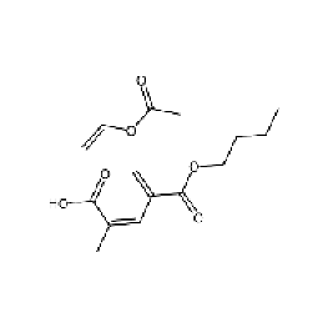 C=C(C=C(C)C(=O)O)C(=O)OCCCC.C=COC(C)=O